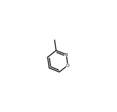 CC1=NOC=C=C1